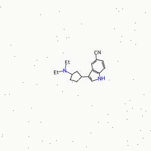 CCN(CC)C1CCC(c2c[nH]c3ccc(C#N)cc23)C1